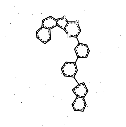 c1cc(-c2cccc(-c3cnc4oc5ccc6ccccc6c5c4n3)c2)cc(-c2ccc3ccccc3c2)c1